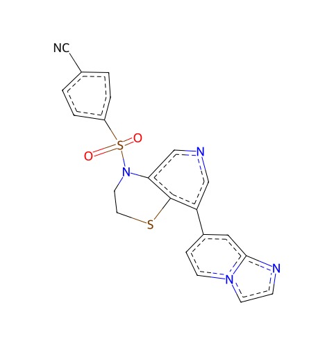 N#Cc1ccc(S(=O)(=O)N2CCSc3c(-c4ccn5ccnc5c4)cncc32)cc1